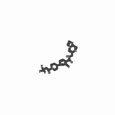 O=C(NCc1cn2ccnc2cn1)c1ccc(C2CCN(C(=O)CC(F)(F)F)CC2)cc1F